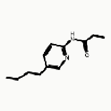 CCCCc1ccc(NC(=O)CC)nc1